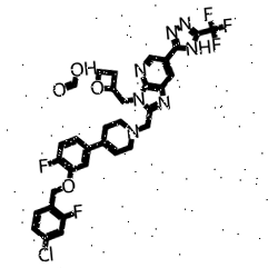 Fc1cc(Cl)ccc1COc1cc(C2=CCN(Cc3nc4cc(-c5nnc(C(F)(F)F)[nH]5)cnc4n3CC3CCO3)CC2)ccc1F.O=CO